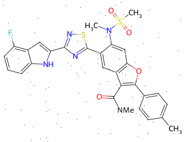 CNC(=O)c1c(-c2ccc(C)cc2)oc2cc(N(C)S(C)(=O)=O)c(-c3nc(-c4cc5c(F)cccc5[nH]4)ns3)cc12